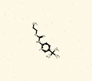 CCCOC(=O)Nc1ccc(C(C)(C)C)cn1